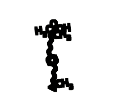 CC1(CCCCc2ccc(CCCCCC(C)(C)C(=O)O)cc2)CC1